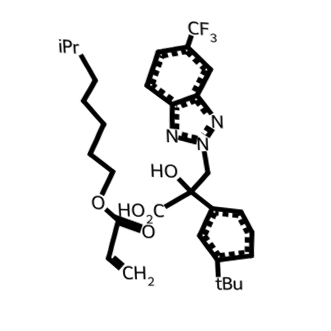 C=CC(=O)OCCCCCC(C)C.CC(C)(C)c1cccc(C(O)(Cn2nc3ccc(C(F)(F)F)cc3n2)C(=O)O)c1